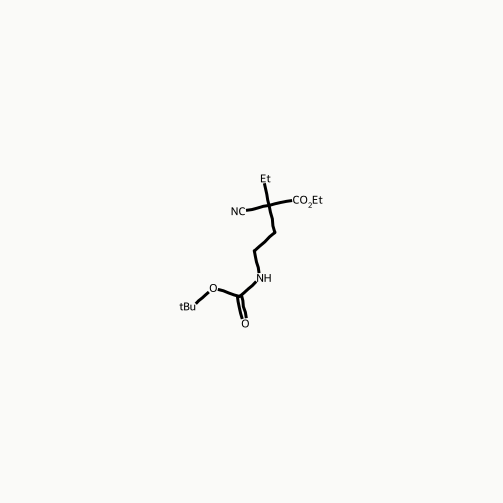 CCOC(=O)C(C#N)(CC)CCNC(=O)OC(C)(C)C